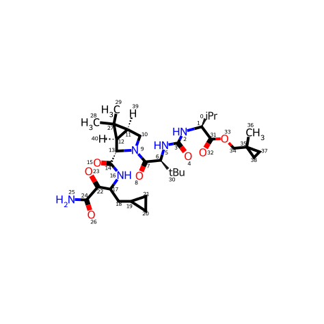 CC(C)[C@H](NC(=O)N[C@H](C(=O)N1C[C@H]2[C@@H]([C@H]1C(=O)NC(CC1CC1)C(=O)C(N)=O)C2(C)C)C(C)(C)C)C(=O)OCC1(C)CC1